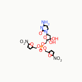 Nc1ccn([C@H]2CC(O)(O)[C@@H](COP(=O)(OCc3ccc([N+](=O)[O-])o3)OCc3ccc([N+](=O)[O-])o3)O2)c(=O)n1